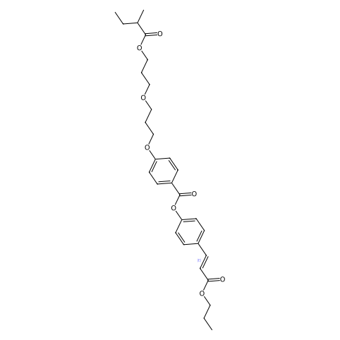 CCCOC(=O)/C=C/c1ccc(OC(=O)c2ccc(OCCCOCCCOC(=O)C(C)CC)cc2)cc1